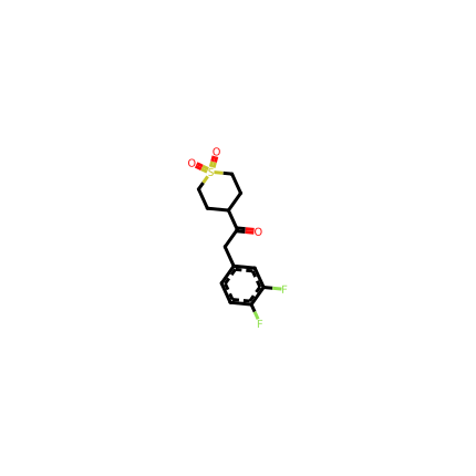 O=C(Cc1ccc(F)c(F)c1)C1CCS(=O)(=O)CC1